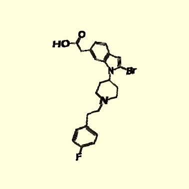 O=C(O)Cc1ccc2cc(Br)n(C3CCN(CCc4ccc(F)cc4)CC3)c2c1